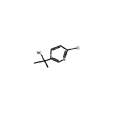 CC(C)(C#N)c1ccc(Cl)nc1